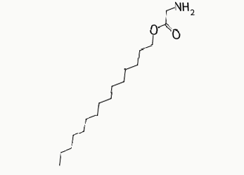 CCCCCCCCCCCCCCCOC(=O)CN